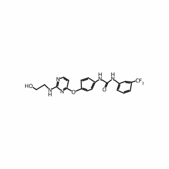 O=C(Nc1ccc(Oc2ccnc(NCCO)n2)cc1)Nc1cccc(C(F)(F)F)c1